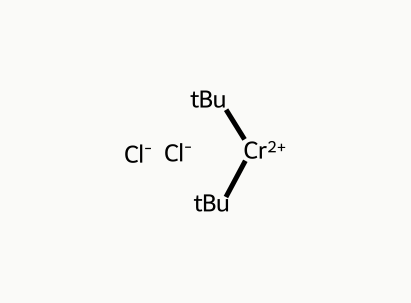 C[C](C)(C)[Cr+2][C](C)(C)C.[Cl-].[Cl-]